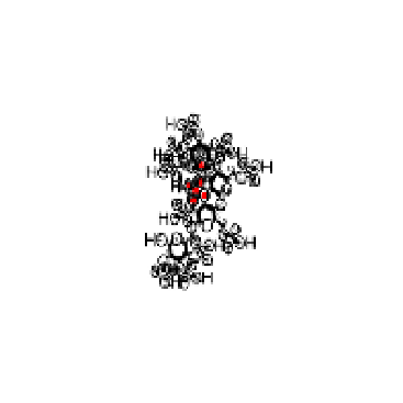 O=S(=O)(O)OC[C@H]1O[C@@H](OC[C@H]2O[C@H](O)[C@@H](OS(=O)(=O)O)[C@@H](OS(=O)(=O)O)[C@@H]2OS(=O)(=O)O)[C@H](OS(=O)(=O)O)[C@@H](OS(=O)(=O)O)[C@@H]1O[C@H]1O[C@H](COS(=O)(=O)O)[C@@H](O[C@H]2O[C@H](COS(=O)(=O)O)[C@@H](OS(=O)(=O)O)[C@H](OS(=O)(=O)O)[C@H]2OS(=O)(=O)O)[C@H](OS(=O)(=O)O)[C@H]1OS(=O)(=O)O